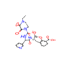 CCN1CCN(C(=O)NC(C(=O)N[C@H]2Cc3cccc(C(=O)O)c3OB2O)c2cccnc2)C(=O)C1=O